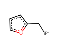 [CH2]C(C)Cc1ccco1